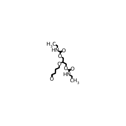 CCNC(=O)OCC(COC(=O)NCC)OCCCC=O